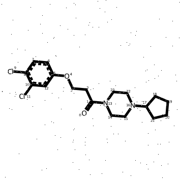 O=C(CCOc1ccc(Cl)c(Cl)c1)N1CCN(C2CCCC2)CC1